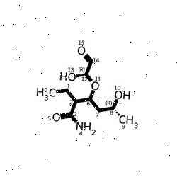 CCC(C(N)=O)C(C[C@@H](C)O)O[C@@H](O)C=O